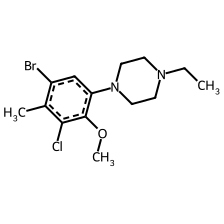 CCN1CCN(c2cc(Br)c(C)c(Cl)c2OC)CC1